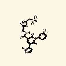 Cc1c(-c2ccnn2C)cc(C(=O)NCc2noc(CS(C)(=O)=O)n2)c(=O)n1-c1cccc(C(F)(F)F)c1